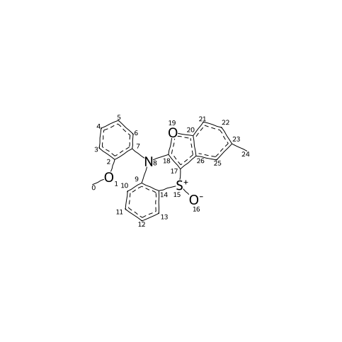 COc1ccccc1N1c2ccccc2[S+]([O-])c2c1oc1ccc(C)cc21